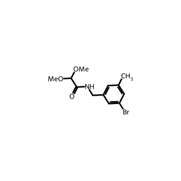 COC(OC)C(=O)NCc1cc(C)cc(Br)c1